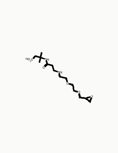 CC(C)(CS(=O)(=O)O)NC(=O)CCNCCOCCOCC1CO1